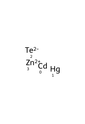 [Cd].[Hg].[Te-2].[Zn+2]